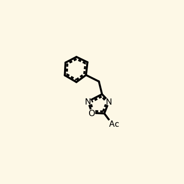 CC(=O)c1nc(Cc2ccccc2)no1